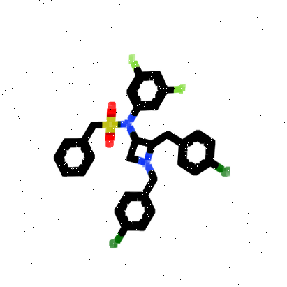 O=S(=O)(Cc1ccccc1)N(c1cc(F)cc(F)c1)C1CN(Cc2ccc(Cl)cc2)C1Cc1ccc(Cl)cc1